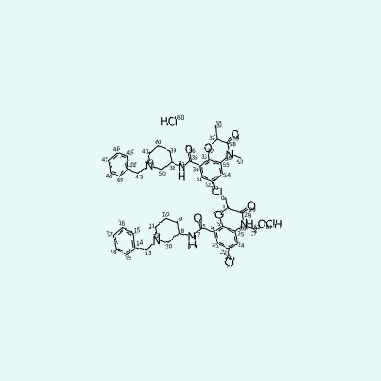 CC1Oc2c(C(=O)NC3CCCN(Cc4ccccc4)C3)cc(Cl)cc2N(C)C1=O.CC1Oc2c(C(=O)NC3CCCN(Cc4ccccc4)C3)cc(Cl)cc2N(C)C1=O.Cl.Cl.O